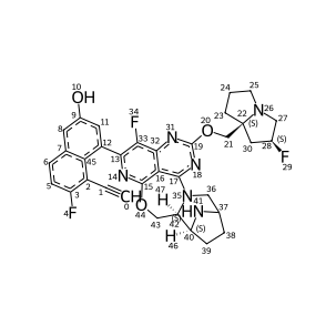 C#Cc1c(F)ccc2cc(O)cc(-c3nc4c5c(nc(OC[C@@]67CCCN6C[C@@H](F)C7)nc5c3F)N3CC5CC[C@H](N5)[C@H]3CO4)c12